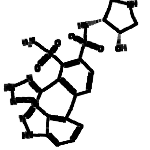 NS(=O)(=O)c1c(S(=O)(=O)N[C@@H]2CNC[C@@H]2O)ccc(-c2cccc3[nH]nnc23)c1-c1nn[nH]n1